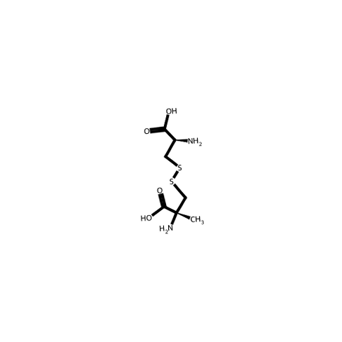 C[C@](N)(CSSC[C@H](N)C(=O)O)C(=O)O